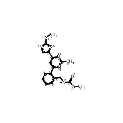 CNc1ncc(-c2cc(-c3ccccc3CNC(=O)OC)nc(C)n2)s1